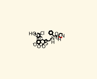 COc1ccc([C@H](Cc2c(Cl)c[n+](O)cc2Cl)c2cc(CCNC(C(=O)O[C@H]3CN4CCC3CC4)c3ccccc3)sc2C(=O)[O-])cc1OC